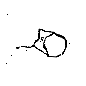 CC1CC2CCC1N2